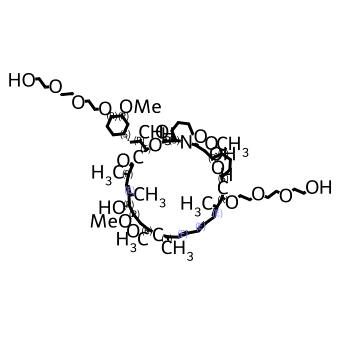 CO[C@@H]1C[C@H](C[C@@H](C)[C@@H]2CC(=O)[C@H](C)/C=C(\C)[C@@H](O)[C@@H](OC)C(=O)[C@H](C)C[C@H](C)/C=C/C=C/C=C(\C)[C@H](OCCOCCOCCO)C[C@@H]3CC[C@@H](C)[C@@](O)(O3)C(=O)C(=O)N3CCCC[C@H]3C(=O)O2)CC[C@H]1OCCOCCOCCO